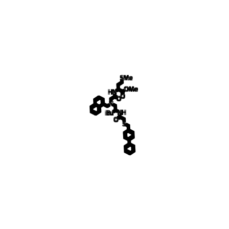 CCC(C)C(CN(CC(=O)NC(CCSC)C(=O)OC)Cc1cccc2ccccc12)NC(=O)CSCc1ccc(-c2ccccc2)cc1